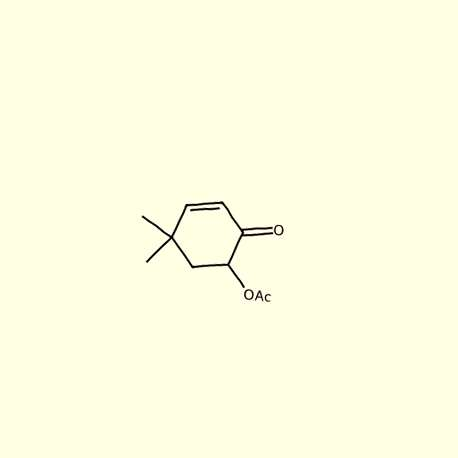 CC(=O)OC1CC(C)(C)C=CC1=O